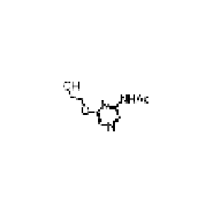 CC(=O)Nc1cncc(OCCO)n1